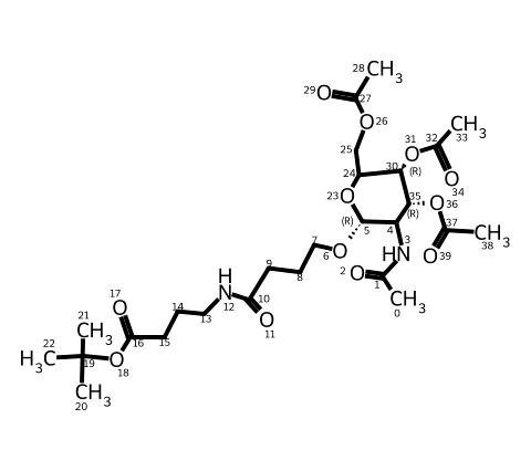 CC(=O)NC1[C@H](OCCCC(=O)NCCCC(=O)OC(C)(C)C)OC(COC(C)=O)[C@H](OC(C)=O)[C@@H]1OC(C)=O